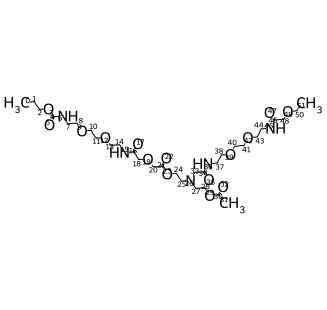 CCCOC(=O)NCCOCCOCCNC(=O)COCC(=O)OCCN(CCOC(C)=O)CC(=O)NCCOCCOCCNC(=O)COCC